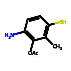 CC(=O)Oc1c(N)ccc(S)c1C